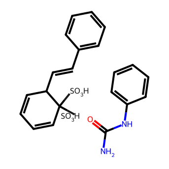 NC(=O)Nc1ccccc1.O=S(=O)(O)C1(S(=O)(=O)O)C=CC=CC1C=Cc1ccccc1